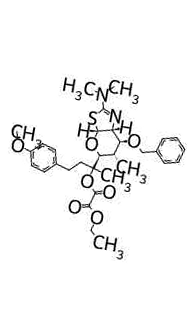 CCOC(=O)C(=O)OC(C)(CCc1ccc(OC)cc1)[C@H]1O[C@@H]2SC(N(C)C)=N[C@@H]2[C@@H](OCc2ccccc2)[C@@H]1C